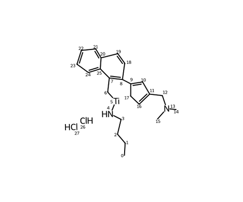 CCCC[NH][Ti][CH2]c1c(C2=CC(CN(C)C)=CC2)ccc2ccccc12.Cl.Cl